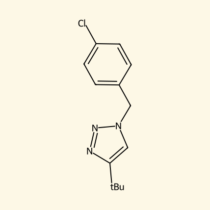 CC(C)(C)c1cn(Cc2ccc(Cl)cc2)nn1